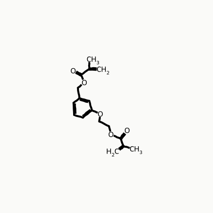 C=C(C)C(=O)OCCOc1cccc(COC(=O)C(=C)C)c1